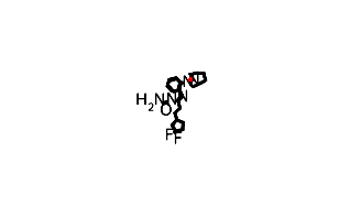 CN1C2CCC1CN(c1cccc3c1nc(CCC1CCC(F)(F)C1)n3C(N)=O)C2